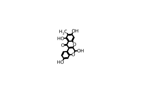 Cc1c(O)cc2oc3c(c(=O)c2c1O)-c1ccc(O)cc1OC3O